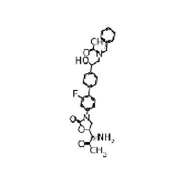 CC(=O)[C@@H](N)C1CN(c2ccc(-c3ccc(C(O)CN(Cc4ccccc4)C(C)=O)cc3)c(F)c2)C(=O)O1